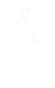 C/C(F)=C(\C=C/CF)C(O)(Cn1cnnn1)C(F)(F)c1ccc(C#Cc2c#cc(F)cc2)nn1